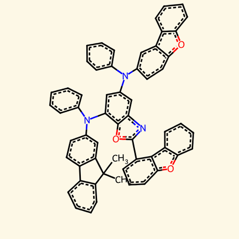 CC1(C)c2ccccc2-c2ccc(N(c3ccccc3)c3cc(N(c4ccccc4)c4ccc5oc6ccccc6c5c4)cc4nc(-c5cccc6oc7ccccc7c56)oc34)cc21